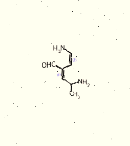 CC(N)/C=C(C=O)\C=C/N